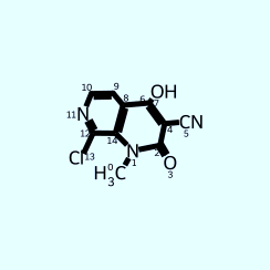 Cn1c(=O)c(C#N)c(O)c2ccnc(Cl)c21